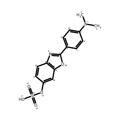 CN(C)c1ccc(-c2nc3ccc(OS(=O)(=O)O)cc3o2)cc1